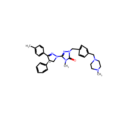 Cc1ccc(C2=NN(c3nn(Cc4ccc(CN5CCN(C)CC5)cc4)c(=O)n3C)C[C@H]2c2ccccc2)cc1